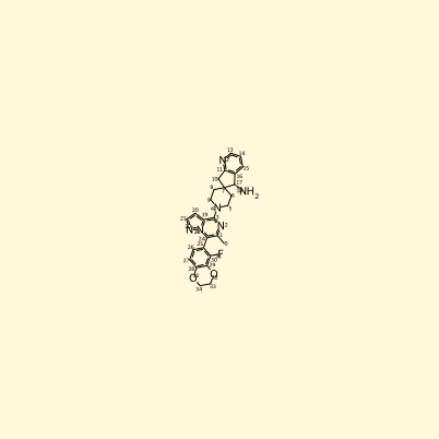 Cc1nc(N2CCC3(CC2)Cc2ncccc2[C@H]3N)c2ccnn2c1-c1ccc2c(c1F)OCCO2